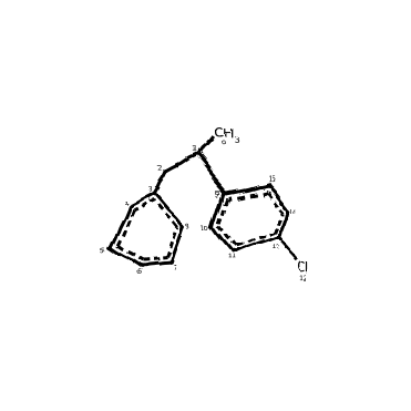 CC(Cc1ccccc1)c1ccc(Cl)cc1